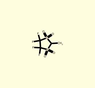 CC1S(=O)(=O)C(F)(F)C(F)(F)S1(=O)=O